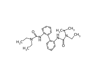 C=C(C)N(CC)C(=O)Nc1ccccc1-c1ccccc1NC(=O)N(CC)CC